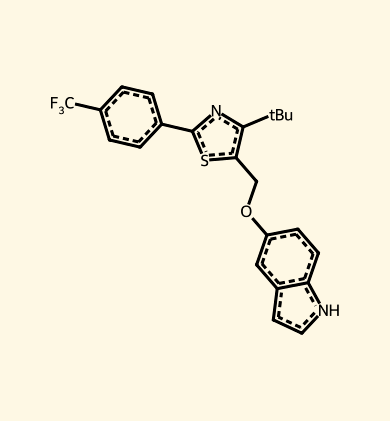 CC(C)(C)c1nc(-c2ccc(C(F)(F)F)cc2)sc1COc1ccc2[nH]ccc2c1